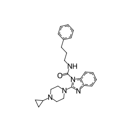 O=C(NCCCc1ccccc1)n1c(N2CCN(C3CC3)CC2)nc2ccccc21